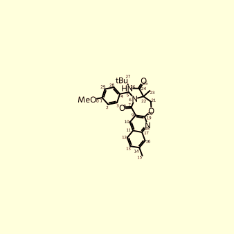 COc1ccc(CN2C(=O)c3cc4ccc(C)cc4nc3OCC2(C)C(=O)NC(C)(C)C)cc1